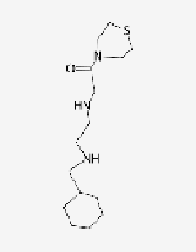 O=C(CNCCNCC1CCCCC1)N1CCSCC1